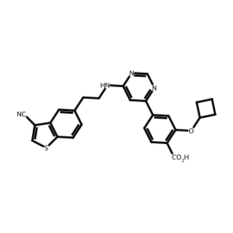 N#Cc1csc2ccc(CCNc3cc(-c4ccc(C(=O)O)c(OC5CCC5)c4)ncn3)cc12